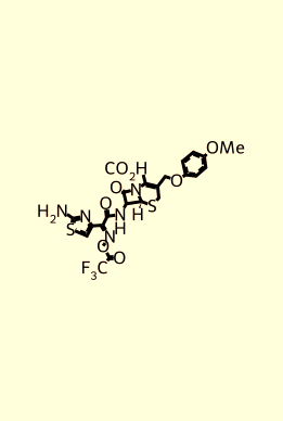 COc1ccc(OCC2=C(C(=O)O)N3C(=O)C(NC(=O)C(=NOC(=O)C(F)(F)F)c4csc(N)n4)[C@@H]3SC2)cc1